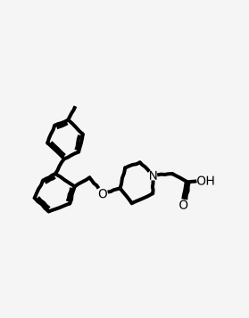 Cc1ccc(-c2ccccc2COC2CCN(CC(=O)O)CC2)cc1